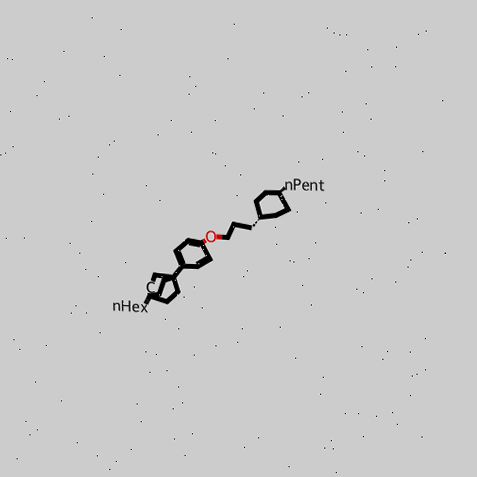 CCCCCCC12CCC(c3ccc(OCCC[C@H]4CC[C@H](CCCCC)CC4)cc3)(CC1)CC2